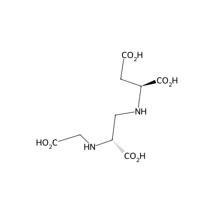 O=C(O)CN[C@H](CN[C@@H](CC(=O)O)C(=O)O)C(=O)O